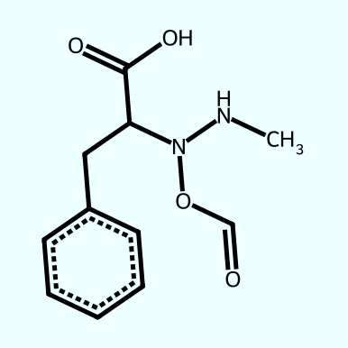 CNN(OC=O)C(Cc1ccccc1)C(=O)O